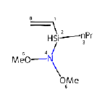 C=C[SiH](CCC)N(OC)OC